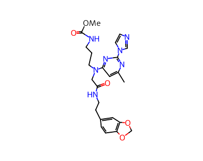 COC(=O)NCCCN(CC(=O)NCCc1ccc2c(c1)OCO2)c1cc(C)nc(-n2ccnc2)n1